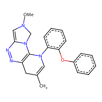 CON1C=C2N=NC3=C(N2C1)N(c1ccccc1Oc1ccccc1)C=C(C)C3